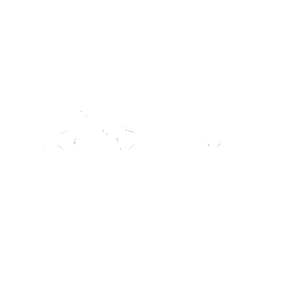 CC(C)OC(=O)N1CCC([C@H](C)CCOc2cnc(N3C[C@H](c4ccc(F)cc4F)[C@@H](N)C3)nc2)CC1